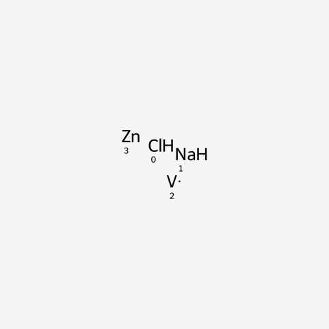 Cl.[NaH].[V].[Zn]